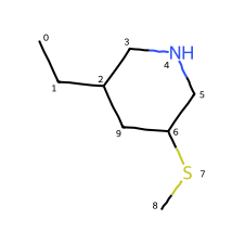 CCC1CNCC(SC)C1